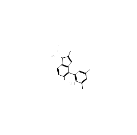 CC1=Cc2c(ccc(C(C)(C)C)c2-c2cc(C)cc(C)c2)[CH]1[Zr]([Cl])[Cl]